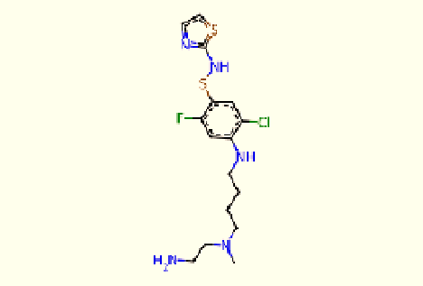 CN(CCN)CCCCNc1cc(F)c(SNc2nccs2)cc1Cl